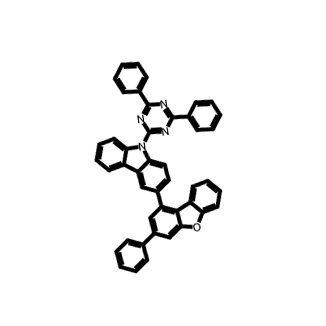 c1ccc(-c2cc(-c3ccc4c(c3)c3ccccc3n4-c3nc(-c4ccccc4)nc(-c4ccccc4)n3)c3c(c2)oc2ccccc23)cc1